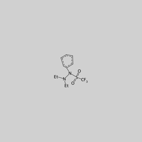 CCN(CC)N(c1ccccc1)S(=O)(=O)C(F)(F)F